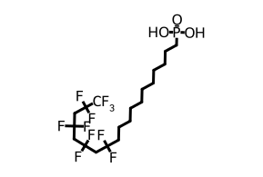 O=P(O)(O)CCCCCCCCCCCC(F)(F)CC(F)(F)CC(F)(F)CC(F)(F)C(F)(F)F